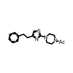 CC(=O)N1CCN(c2nc(CCc3c[c]ccc3)cs2)CC1